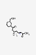 CC(=O)/C=C/CN(C)CC(=O)N1CCCC(CO)C1